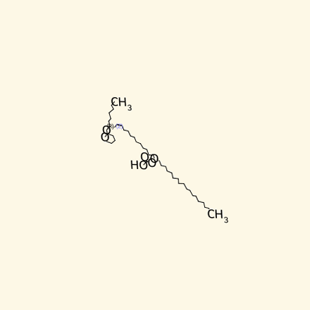 CCCCCCCCCCCCCCCCCCOCC(CCCCCCCC/C=C\C[C@@H](CCCCCC)OC1CCCCO1)OC(=O)O